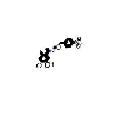 COc1cc(I)c(/C(C)=N/COCc2ccc([N+](=O)[O-])cc2)cc1O